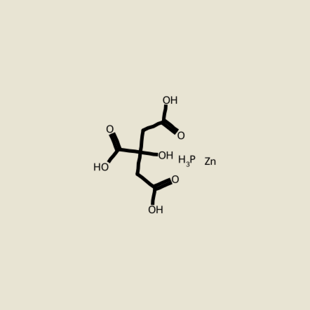 O=C(O)CC(O)(CC(=O)O)C(=O)O.P.[Zn]